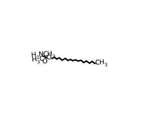 CCCCCCCCCCCCCCCCCCOC(=O)C(C)(C)N